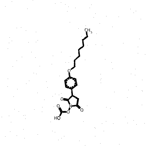 CCCCCCCCOc1ccc(C2CC(=O)N(OC(=O)O)C2=O)cc1